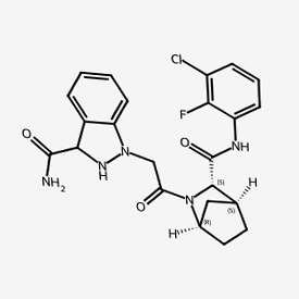 NC(=O)C1NN(CC(=O)N2[C@@H]3CC[C@@H](C3)[C@H]2C(=O)Nc2cccc(Cl)c2F)c2ccccc21